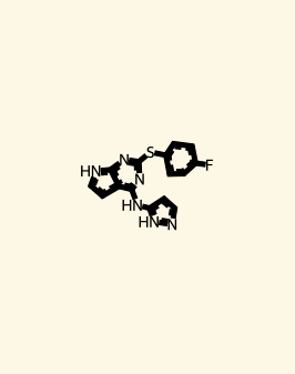 Fc1ccc(Sc2nc(Nc3ccn[nH]3)c3cc[nH]c3n2)cc1